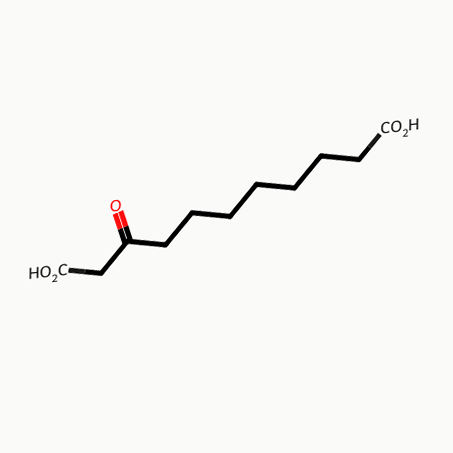 O=C(O)CCCCCCCC(=O)CC(=O)O